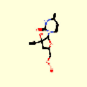 C#C[C@@]1(O)CC(COB=O)OC1N1C=CC(=C)NC1=O